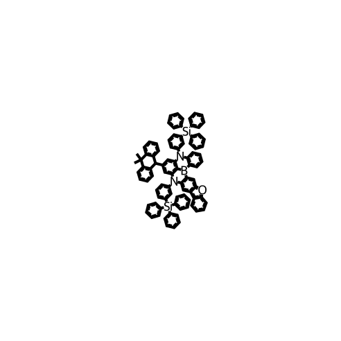 CC1(C)c2ccccc2C(c2cc3c4c(c2)N(c2cccc([Si](c5ccccc5)(c5ccccc5)c5ccccc5)c2)c2cc5c(cc2B4c2ccccc2N3c2cccc([Si](c3ccccc3)(c3ccccc3)c3ccccc3)c2)oc2ccccc25)c2ccccc21